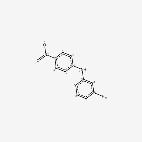 O=[N+]([O-])c1ccc(Nc2cccc(F)c2)cn1